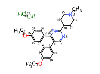 COc1ccc(-c2cnc(C3CCN(C)CC3)nc2-c2ccc(OC)cc2)cc1.Cl.Cl